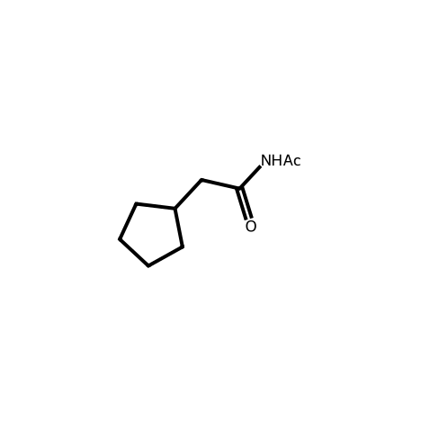 CC(=O)NC(=O)CC1CCCC1